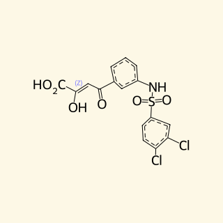 O=C(O)/C(O)=C/C(=O)c1cccc(NS(=O)(=O)c2ccc(Cl)c(Cl)c2)c1